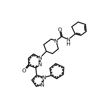 O=C(NC1=CC=CCC1)N1CCC(n2ccc(=O)c(-c3ccnn3-c3ccccc3)n2)CC1